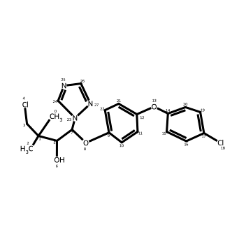 CC(C)(CCl)C(O)C(Oc1ccc(Oc2ccc(Cl)cc2)cc1)n1cncn1